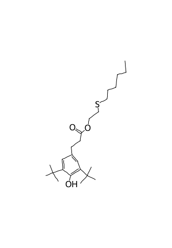 CCCCCCSCCOC(=O)CCc1cc(C(C)(C)C)c(O)c(C(C)(C)C)c1